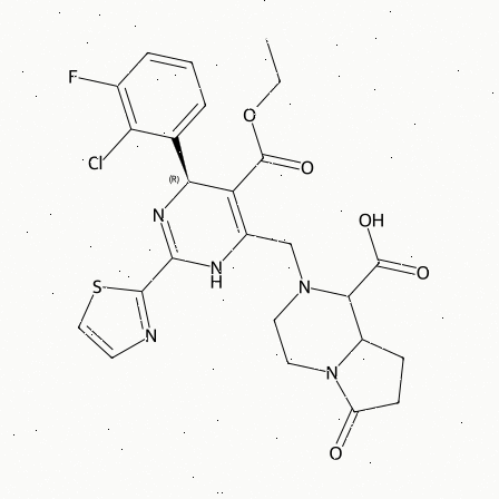 CCOC(=O)C1=C(CN2CCN3C(=O)CCC3C2C(=O)O)NC(c2nccs2)=N[C@H]1c1cccc(F)c1Cl